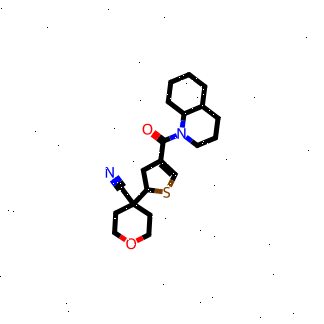 N#CC1(C2CC(C(=O)N3CCCC4CCCCC43)=CS2)CCOCC1